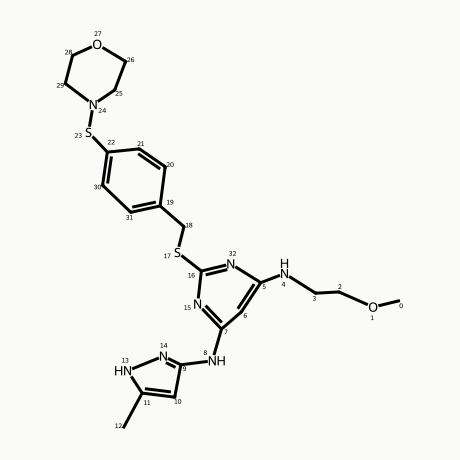 COCCNc1cc(Nc2cc(C)[nH]n2)nc(SCc2ccc(SN3CCOCC3)cc2)n1